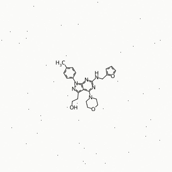 Cc1ccc(-n2nc(CCO)c3c(N4CCOCC4)nc(NCc4ccco4)nc32)cc1